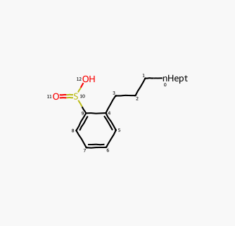 CCCCCCCCCCc1ccccc1S(=O)O